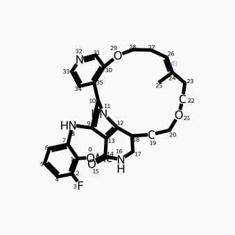 COc1c(F)cccc1Nc1c2[nH]c3c1C(=O)NCC3CCOCC/C(C)=C/CCOc1cnccc1-2